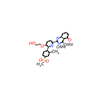 COc1c2c(=O)cccc-2nc(-c2ccc(OCCO)c(-c3ccc(S(C)(=O)=O)cc3C)n2)n1OC